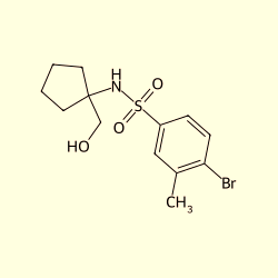 Cc1cc(S(=O)(=O)NC2(CO)CCCC2)ccc1Br